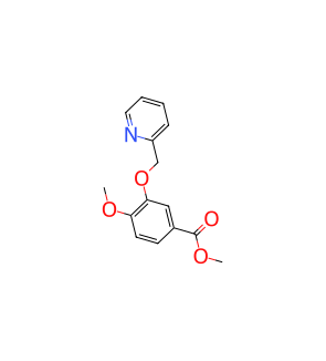 COC(=O)c1ccc(OC)c(OCc2ccccn2)c1